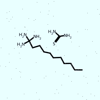 CCCCCCCCCCC(N)(N)N.NC(N)=S